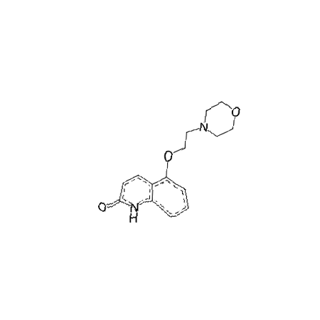 O=c1ccc2c(OCCN3CCOCC3)cccc2[nH]1